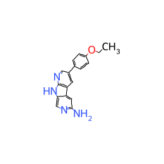 CCOc1ccc(-c2cnc3[nH]c4cnc(N)cc4c3c2)cc1